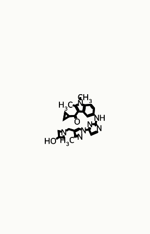 Cc1nn(-c2ccnc(Nc3ccc4c(c3)c(C(=O)C3CC3)c(C)n4C)n2)cc1CN1CC(O)C1